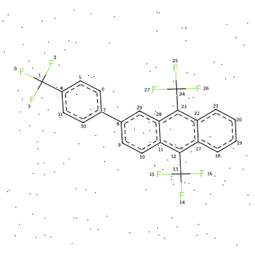 FC(F)(F)c1ccc(-c2ccc3c(C(F)(F)F)c4ccccc4c(C(F)(F)F)c3c2)cc1